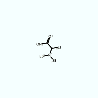 CCC(C(=O)N=O)N(CC)CC